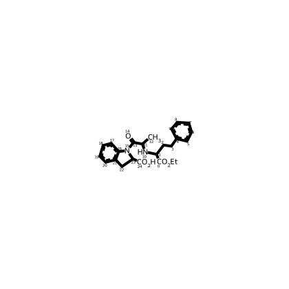 CCOC(=O)C(CCc1ccccc1)NC(C)C(=O)N1c2ccccc2CC1C(=O)O